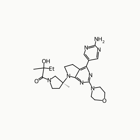 CCC(C)(O)C(=O)N1CC[C@](C)(N2CCc3c(-c4cnc(N)nc4)nc(N4CCOCC4)nc32)C1